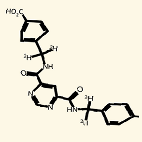 [2H]C([2H])(NC(=O)c1cc(C(=O)NC([2H])([2H])c2ccc(C(=O)O)cc2)ncn1)c1ccc(F)cc1